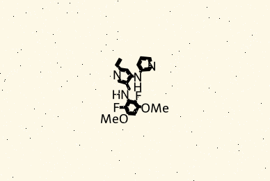 C=Cc1cc(Nc2cccnc2)c(CNc2c(F)c(OC)cc(OC)c2F)cn1